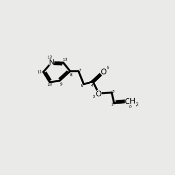 C=CCOC(=O)CCc1cccnc1